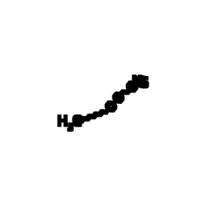 CCCCCCCCCC[C@H]1CC[C@H](c2ccc(CCc3ccc(N=C=S)cc3)cc2)CC1